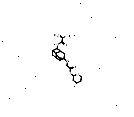 C=C(C)C(=O)OC1C2CC3CC1CC(OCC(=O)OC1CCCCO1)(C3)C2